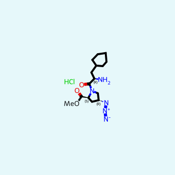 COC(=O)[C@@H]1C[C@@H](N=[N+]=[N-])CN1C(=O)[C@H](N)CC1CCCCC1.Cl